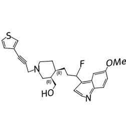 COc1ccc2nccc(C(F)CC[C@@H]3CCN(CC#Cc4ccsc4)C[C@@H]3CO)c2c1